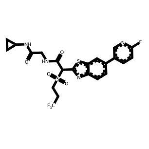 O=C(CNC(=O)C(c1nc2ccc(-c3ccc(F)nc3)cc2s1)S(=O)(=O)CCC(F)(F)F)NC1CC1